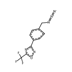 [N-]=[N+]=NCc1ccc(-c2noc(C(F)(F)F)n2)cc1